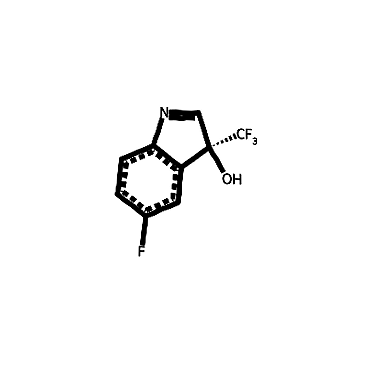 O[C@]1(C(F)(F)F)C=Nc2ccc(F)cc21